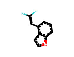 FC(F)=Cc1cccc2o[c]cc12